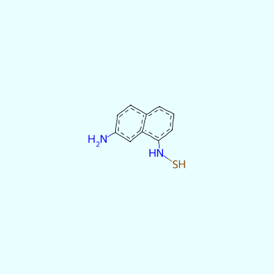 Nc1ccc2cccc(NS)c2c1